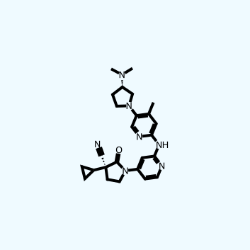 Cc1cc(Nc2cc(N3CC[C@@](C#N)(C4CC4)C3=O)ccn2)ncc1N1CC[C@H](N(C)C)C1